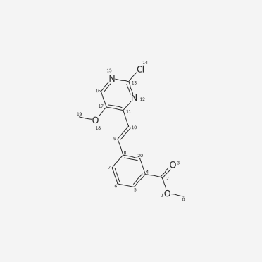 COC(=O)c1cccc(C=Cc2nc(Cl)ncc2OC)c1